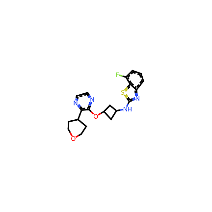 Fc1cccc2nc(NC3CC(Oc4nccnc4C4CCOCC4)C3)sc12